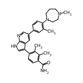 Cc1cc(-c2cnc3[nH]cc(-c4ccc(C(N)=O)c(C)c4C)c3c2)ccc1N1CCCN(C)CC1